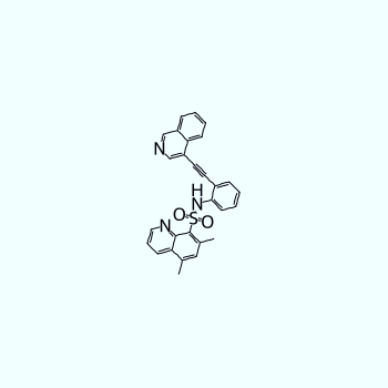 Cc1cc(C)c2cccnc2c1S(=O)(=O)Nc1ccccc1C#Cc1cncc2ccccc12